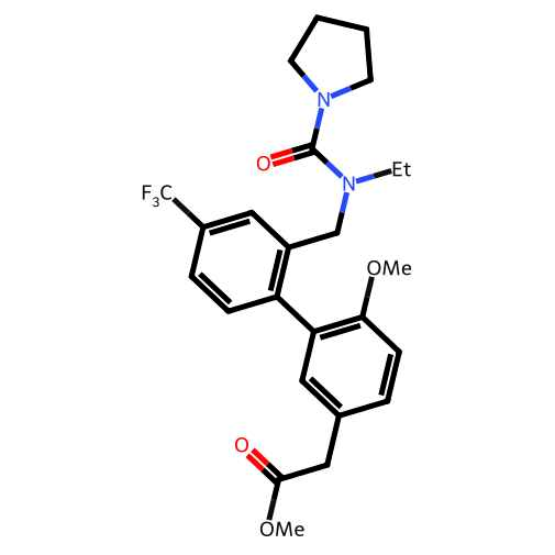 CCN(Cc1cc(C(F)(F)F)ccc1-c1cc(CC(=O)OC)ccc1OC)C(=O)N1CCCC1